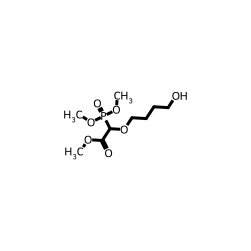 COC(=O)C(OCCCCO)P(=O)(OC)OC